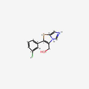 OCc1c(-c2cccc(F)c2)sc2cncn12